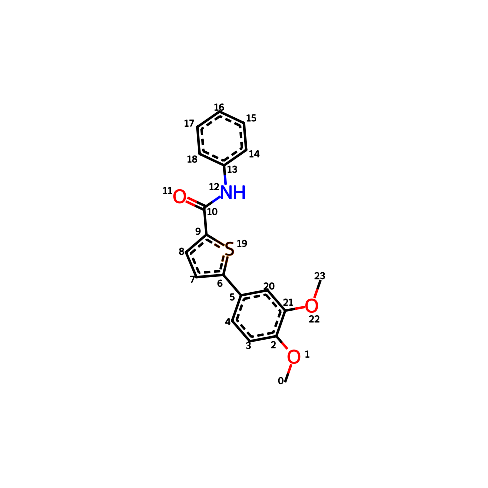 COc1ccc(-c2ccc(C(=O)Nc3ccccc3)s2)cc1OC